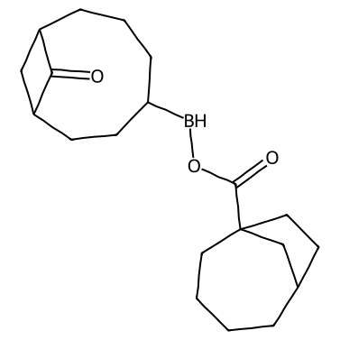 O=C1C2CCCC(BOC(=O)C34CCCCC(CC3)C4)CCC1C2